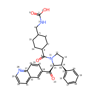 O=C(O)NCC1CCC(C(=O)N2CC[C@@H](c3ccccc3)[C@H]2C(=O)c2ccc3ncccc3c2)CC1